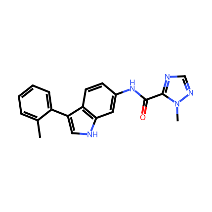 Cc1ccccc1-c1c[nH]c2cc(NC(=O)c3ncnn3C)ccc12